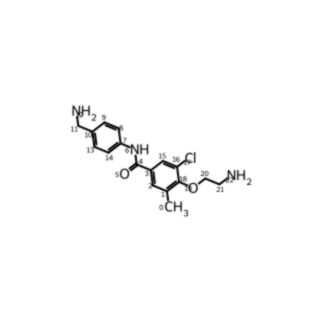 Cc1cc(C(=O)Nc2ccc(CN)cc2)cc(Cl)c1OCCN